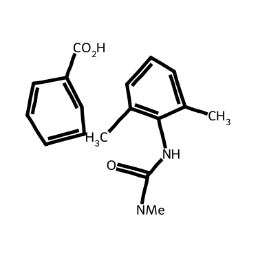 CNC(=O)Nc1c(C)cccc1C.O=C(O)c1ccccc1